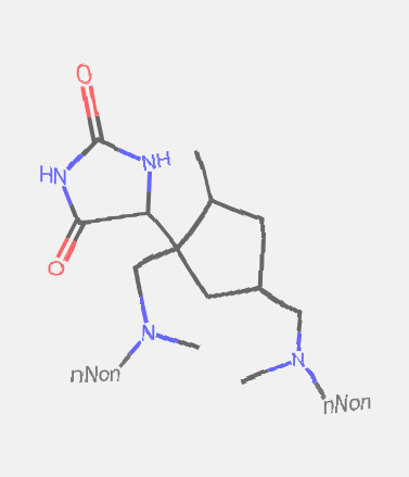 CCCCCCCCCN(C)CC1CC(C)C(CN(C)CCCCCCCCC)(C2NC(=O)NC2=O)C1